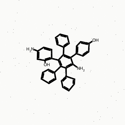 Nc1ccc(-c2c(-c3ccccc3)c(-c3ccccc3)c(N)c(-c3ccc(O)cc3)c2-c2ccccc2)c(O)c1